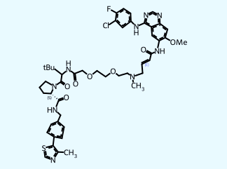 COc1cc2ncnc(Nc3ccc(F)c(Cl)c3)c2cc1NC(=O)/C=C/CN(C)CCOCCOCC(=O)NC(C(=O)N1CCC[C@H]1C(=O)NCc1ccc(-c2scnc2C)cc1)C(C)(C)C